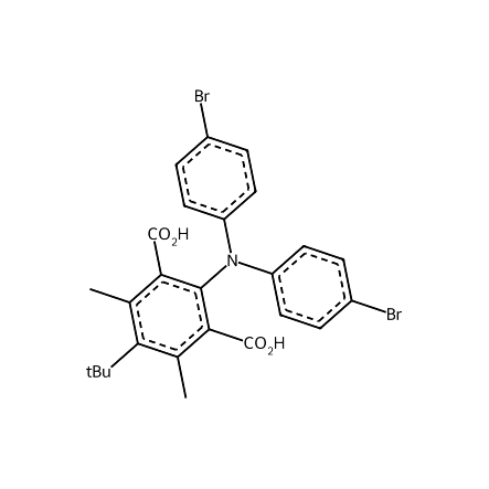 Cc1c(C(=O)O)c(N(c2ccc(Br)cc2)c2ccc(Br)cc2)c(C(=O)O)c(C)c1C(C)(C)C